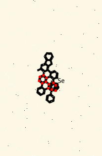 Cc1cc2c(c(-c3ccc4[se]c5ccccc5c4c3-c3ccccc3-c3nnnc(-c4ccccc4)c3-c3ccccc3-c3ccccc3-c3ccccc3)c1C)Cc1ccccc1-2